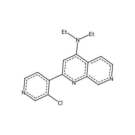 CCN(CC)c1cc(-c2ccncc2Cl)nc2cnccc12